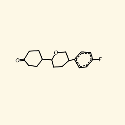 O=C1CCC(C2CCC(c3ccc(F)cc3)CO2)CC1